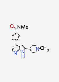 CNC(=O)c1ccc(-c2ccnc3[nH]c(C4=CCN(C)CC4)cc23)cc1